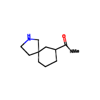 CNC(=O)C1CCCC2(CCNC2)C1